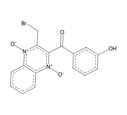 O=C(c1cccc(O)c1)c1c(CBr)[n+]([O-])c2ccccc2[n+]1[O-]